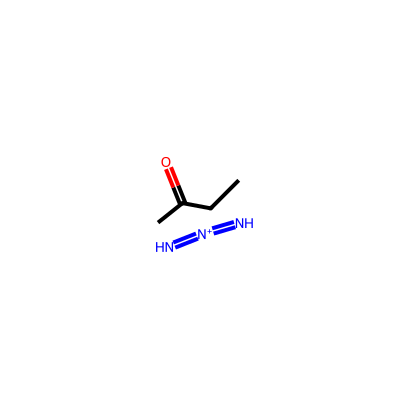 CCC(C)=O.N=[N+]=N